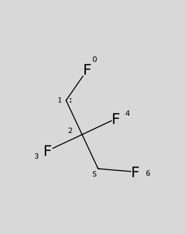 F[C]C(F)(F)CF